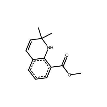 COC(=O)c1cccc2c1NC(C)(C)C=C2